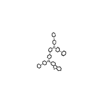 c1ccc(-c2ccc(N(c3ccc(-c4ccccc4)cc3)c3cccc(-c4ccc(N(c5ccc(-c6ccccc6)cc5)c5ccc6c(c5)sc5ccccc56)cc4)c3)cc2)cc1